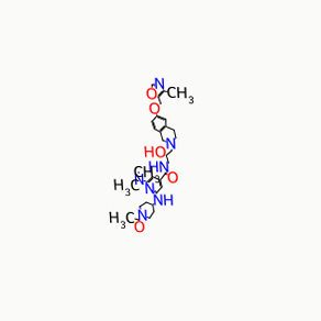 CC(=O)N1CCC(Nc2cc(C(=O)NCC(O)CN3CCc4cc(OCc5ocnc5C)ccc4C3)cc(N(C)C)n2)CC1